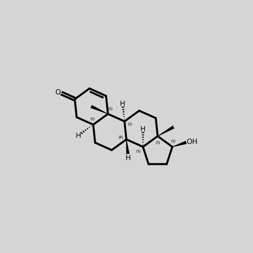 C[C@]12C=CC(=O)C[C@@H]1CC[C@@H]1[C@@H]2CC[C@]2(C)[C@@H](O)CC[C@@H]12